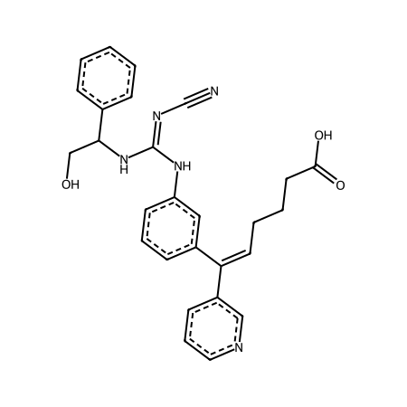 N#C/N=C(\Nc1cccc(/C(=C\CCCC(=O)O)c2cccnc2)c1)NC(CO)c1ccccc1